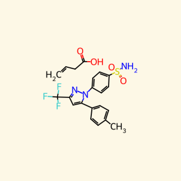 C=CCC(=O)O.Cc1ccc(-c2cc(C(F)(F)F)nn2-c2ccc(S(N)(=O)=O)cc2)cc1